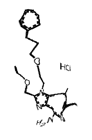 CCOCc1nc2c(N)nc(C)c(C)c2n1CCOCCCc1ccccc1.Cl